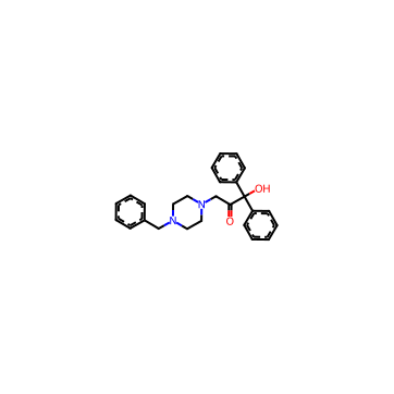 O=C(CN1CCN(Cc2ccccc2)CC1)C(O)(c1ccccc1)c1ccccc1